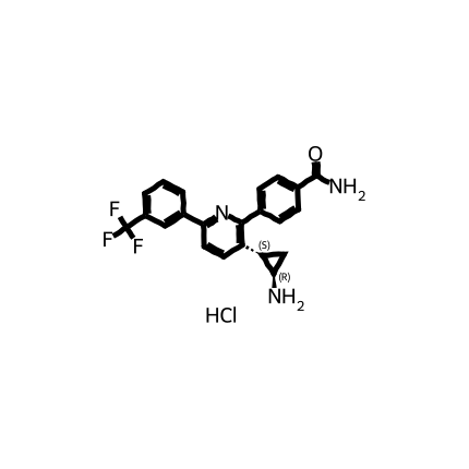 Cl.NC(=O)c1ccc(-c2nc(-c3cccc(C(F)(F)F)c3)ccc2[C@@H]2C[C@H]2N)cc1